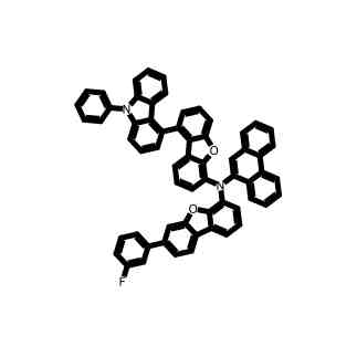 Fc1cccc(-c2ccc3c(c2)oc2c(N(c4cc5ccccc5c5ccccc45)c4cccc5c4oc4cccc(-c6cccc7c6c6ccccc6n7-c6ccccc6)c45)cccc23)c1